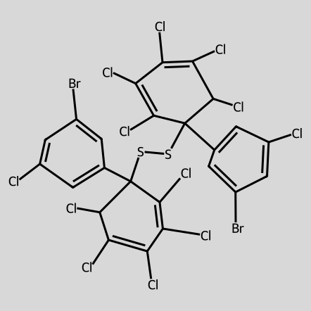 ClC1=C(Cl)C(Cl)C(SSC2(c3cc(Cl)cc(Br)c3)C(Cl)=C(Cl)C(Cl)=C(Cl)C2Cl)(c2cc(Cl)cc(Br)c2)C(Cl)=C1Cl